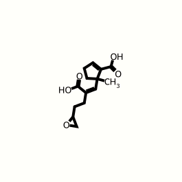 CC1(C=C(CCC2CO2)C(=O)O)CCC=C1C(=O)O